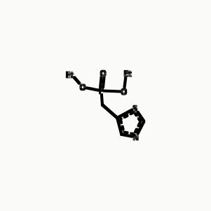 CCOP(=O)(Cc1cncs1)OCC